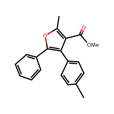 COC(=O)c1c(C)oc(-c2ccccc2)c1-c1ccc(C)cc1